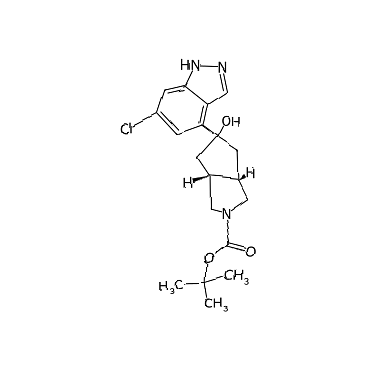 CC(C)(C)OC(=O)N1C[C@@H]2CC(O)(c3cc(Cl)cc4[nH]ncc34)C[C@@H]2C1